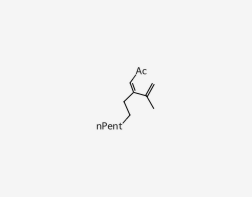 C=C(C)/C(=C\C(C)=O)CCCCCCC